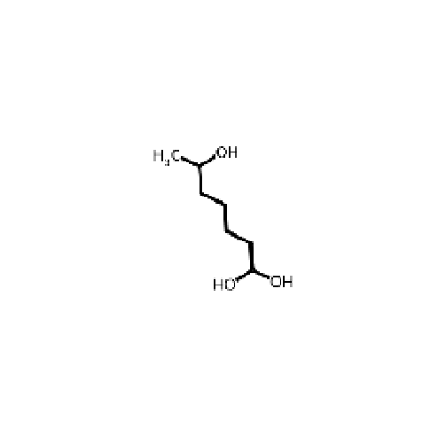 CC(O)CCCCC(O)O